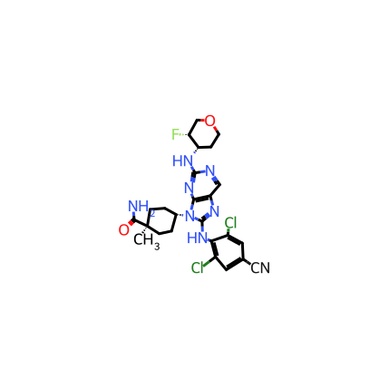 C[C@]1(C(N)=O)CC[C@H](n2c(Nc3c(Cl)cc(C#N)cc3Cl)nc3cnc(N[C@H]4CCOC[C@H]4F)nc32)CC1